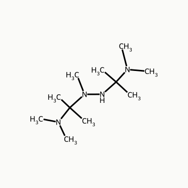 CN(C)C(C)(C)NN(C)C(C)(C)N(C)C